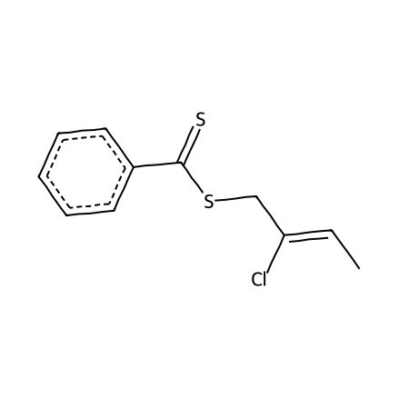 CC=C(Cl)CSC(=S)c1ccccc1